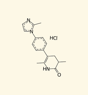 CC1=C(c2ccc(-n3ccnc3C)cc2)CC(C)C(=O)N1.Cl